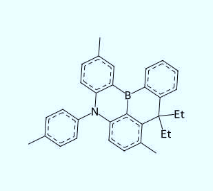 CCC1(CC)c2ccccc2B2c3cc(C)ccc3N(c3ccc(C)cc3)c3ccc(C)c1c32